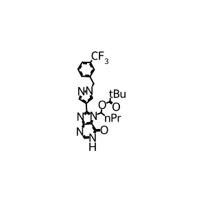 CCCC(OC(=O)C(C)(C)C)n1c(-c2cnn(Cc3cccc(C(F)(F)F)c3)c2)nc2nc[nH]c(=O)c21